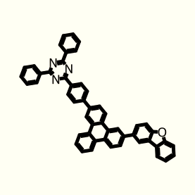 c1ccc(-c2nc(-c3ccccc3)nc(-c3ccc(-c4ccc5c(c4)c4ccccc4c4ccc(-c6ccc7oc8ccccc8c7c6)cc45)cc3)n2)cc1